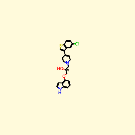 O[C@H](COc1cccc2[nH]ccc12)CN1CC=C(c2csc3ccc(Cl)cc23)CC1